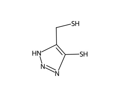 SCc1[nH]nnc1S